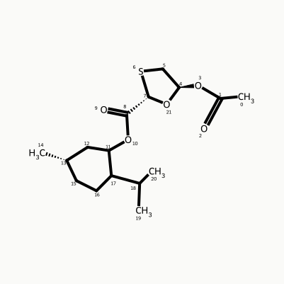 CC(=O)O[C@@H]1CS[C@@H](C(=O)OC2C[C@@H](C)CCC2C(C)C)O1